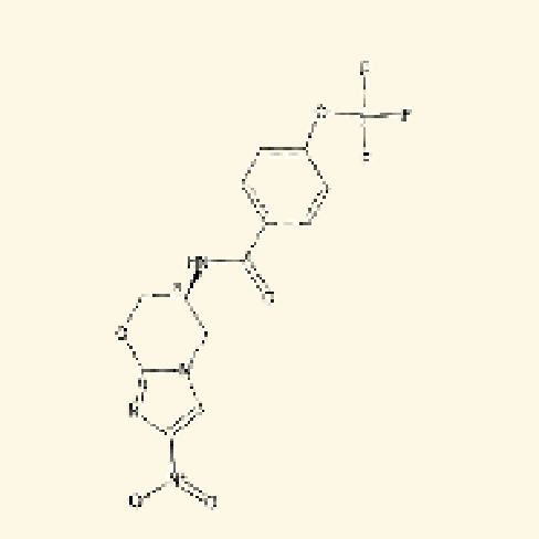 O=C(N[C@@H]1COc2nc([N+](=O)[O-])cn2C1)c1ccc(OC(F)(F)F)cc1